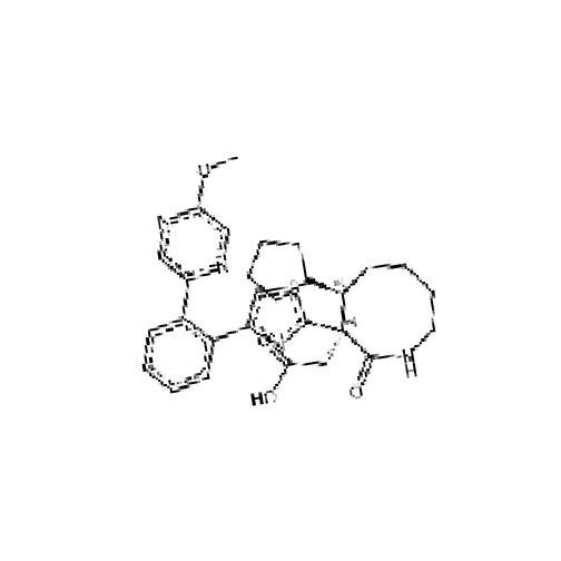 COc1cnc(-c2ccccc2-c2csc([C@]3(CC(=O)O)C(=O)NCCCC[C@@H]3C3CCCC3)n2)cn1